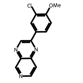 COc1ccc(-c2cnc3cnccc3n2)cc1Cl